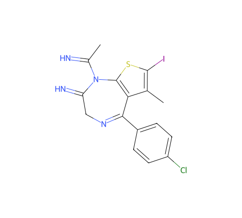 CC(=N)N1C(=N)CN=C(c2ccc(Cl)cc2)c2c1sc(I)c2C